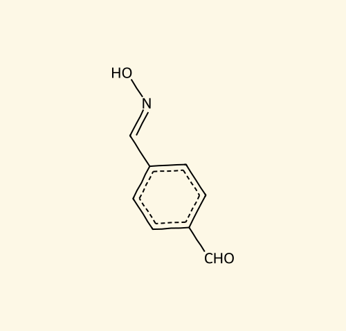 O=Cc1ccc(C=NO)cc1